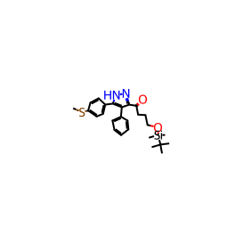 CSc1ccc(-c2[nH]nc(C(=O)CCCO[Si](C)(C)C(C)(C)C)c2-c2ccccc2)cc1